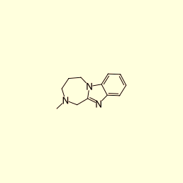 CN1CCCn2c(nc3ccccc32)C1